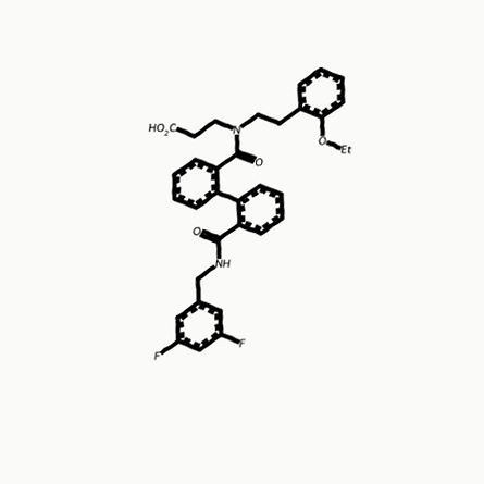 CCOc1ccccc1CCN(CCC(=O)O)C(=O)c1ccccc1-c1ccccc1C(=O)NCc1cc(F)cc(F)c1